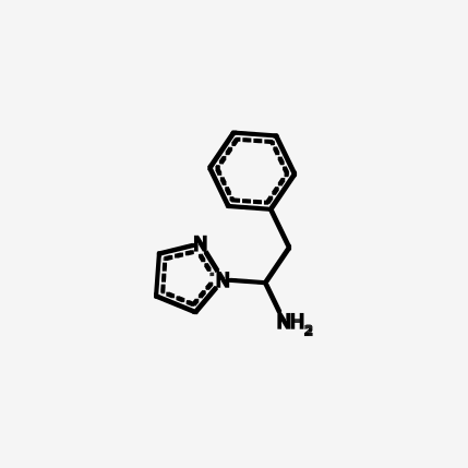 NC(Cc1ccccc1)n1cccn1